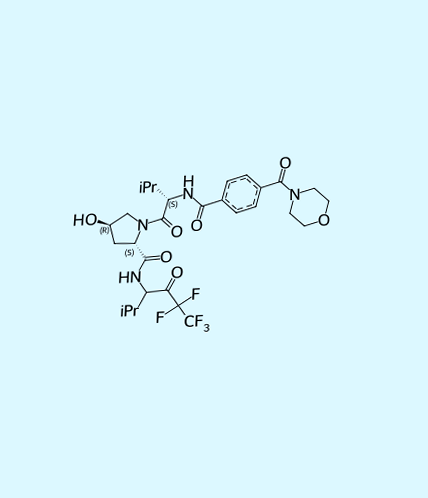 CC(C)C(NC(=O)[C@@H]1C[C@@H](O)CN1C(=O)[C@@H](NC(=O)c1ccc(C(=O)N2CCOCC2)cc1)C(C)C)C(=O)C(F)(F)C(F)(F)F